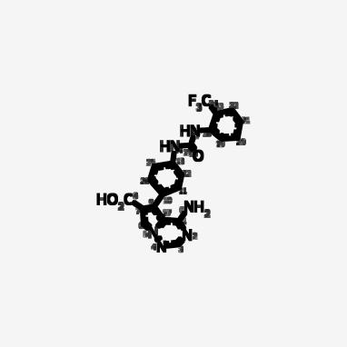 Nc1ncnn2cc(C(=O)O)c(-c3ccc(NC(=O)Nc4ccccc4C(F)(F)F)cc3)c12